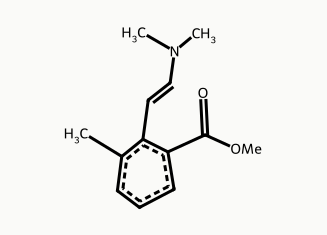 COC(=O)c1cccc(C)c1C=CN(C)C